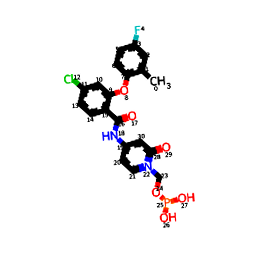 Cc1cc(F)ccc1Oc1cc(Cl)ccc1C(=O)Nc1ccn(COP(O)O)c(=O)c1